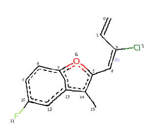 C=C/C(Cl)=C\c1oc2ccc(F)cc2c1C